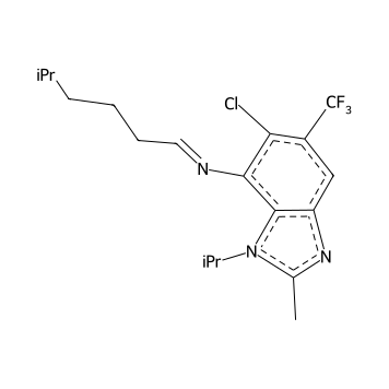 Cc1nc2cc(C(F)(F)F)c(Cl)c(N=CCCCC(C)C)c2n1C(C)C